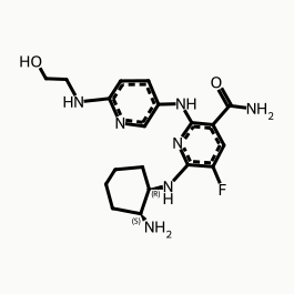 NC(=O)c1cc(F)c(N[C@@H]2CCCC[C@@H]2N)nc1Nc1ccc(NCCO)nc1